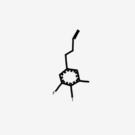 C=CCCc1cc(C)c(I)c(F)c1